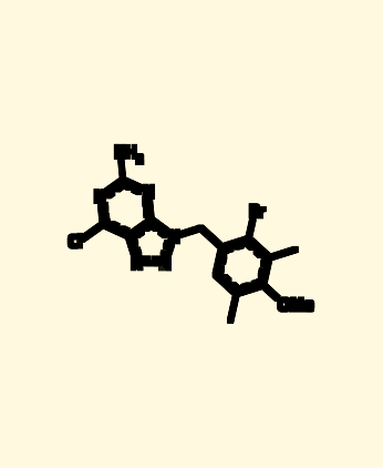 COc1c(C)cc(Cn2nnc3c(Cl)nc(N)nc32)c(Br)c1C